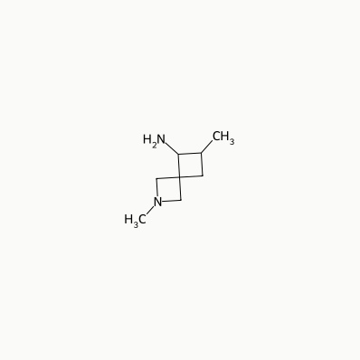 CC1CC2(CN(C)C2)C1N